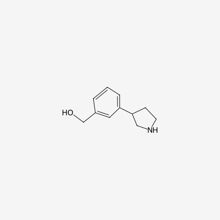 OCc1cccc(C2CCNC2)c1